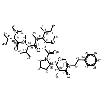 CC[C@H](C)[C@@H]([C@@H](CC(=O)N1CCC[C@H]1C(OC)[C@@H](C)C(=O)NCCc1ccccc1)OC)N(C)C(=O)[C@@H](NC(=O)[C@H](C(C)C)N(C)C)C(C)C